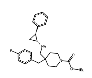 CC(C)(C)OC(=O)N1CCC(CN[C@@H]2C[C@H]2c2ccccc2)(Cc2ccc(F)cc2)CC1